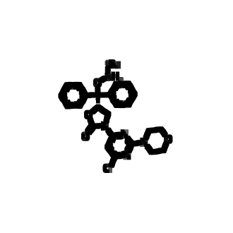 CC(C)(C)[SiH2]OC(c1ccccc1)(c1ccccc1)[C@@H]1CN(c2cc(Cl)nc(N3CCOCC3)n2)C(=O)O1